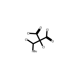 CCCCC(Cl)C(Cl)(C(=O)Cl)C(=O)Cl